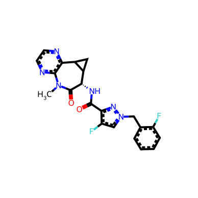 CN1C(=O)[C@@H](NC(=O)c2nn(Cc3ccccc3F)cc2F)C2CC2c2nccnc21